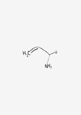 [Li][CH](N)C=C